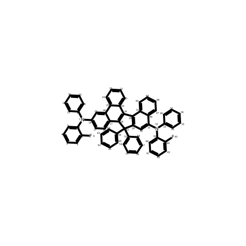 Fc1ccccc1N(c1ccccc1)c1ccc2c3c(c4ccccc4c2c1)-c1c(cc(N(c2ccccc2)c2ccccc2F)c2ccccc12)C3(c1ccccc1)c1ccccc1